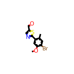 COc1cc(-c2ncc(C=O)s2)c(C)cc1Br